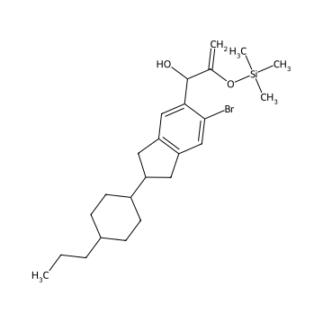 C=C(O[Si](C)(C)C)C(O)c1cc2c(cc1Br)CC(C1CCC(CCC)CC1)C2